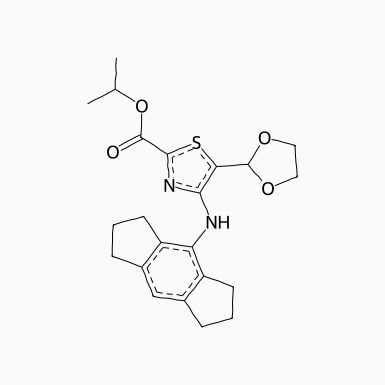 CC(C)OC(=O)c1nc(Nc2c3c(cc4c2CCC4)CCC3)c(C2OCCO2)s1